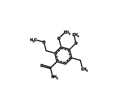 CCc1cc(C(N)=O)c(COC)c(OC)c1OC